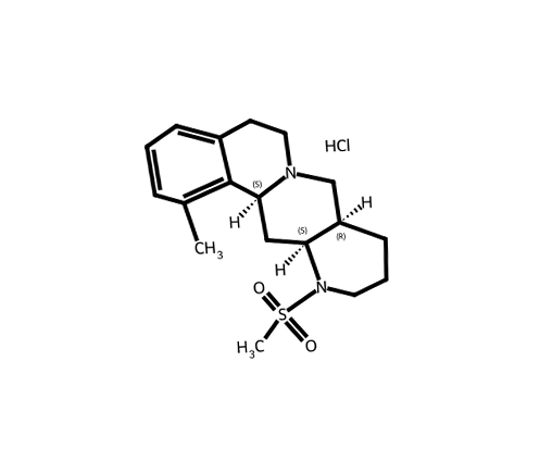 Cc1cccc2c1[C@@H]1C[C@H]3[C@H](CCCN3S(C)(=O)=O)CN1CC2.Cl